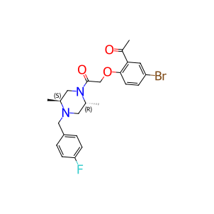 CC(=O)c1cc(Br)ccc1OCC(=O)N1C[C@H](C)N(Cc2ccc(F)cc2)C[C@H]1C